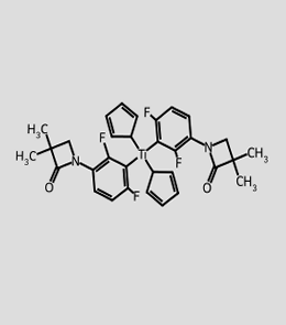 CC1(C)CN(c2ccc(F)[c]([Ti]([c]3c(F)ccc(N4CC(C)(C)C4=O)c3F)([CH]3C=CC=C3)[CH]3C=CC=C3)c2F)C1=O